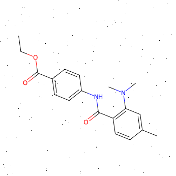 CCOC(=O)c1ccc(NC(=O)c2ccc(C)cc2N(C)C)cc1